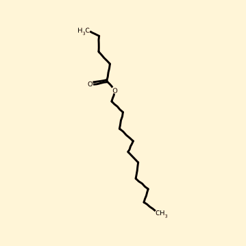 CCCCCCCCCCOC(=O)CCCC